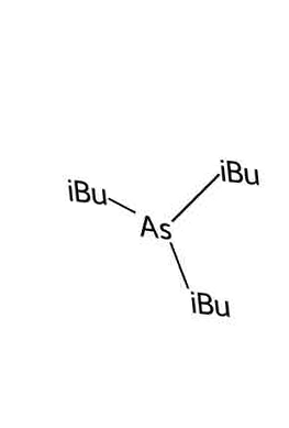 CCC(C)[As](C(C)CC)C(C)CC